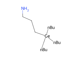 CCC[CH2][Ge]([CH2]CCC)([CH2]CCC)[CH2]CCN